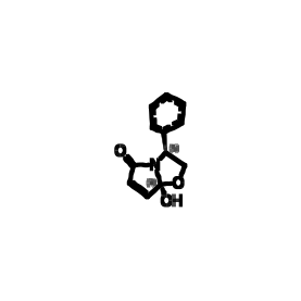 O=C1C=C[C@@]2(O)OC[C@H](c3ccccc3)N12